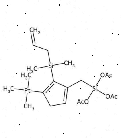 C=CC[Si](C)(C)C1=[C]([Pt]([CH3])([CH3])[CH3])CC=C1C[Si](OC(C)=O)(OC(C)=O)OC(C)=O